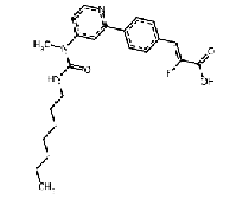 CCCCCCCNC(=O)N(C)c1ccnc(-c2ccc(C=C(F)C(=O)O)cc2)c1